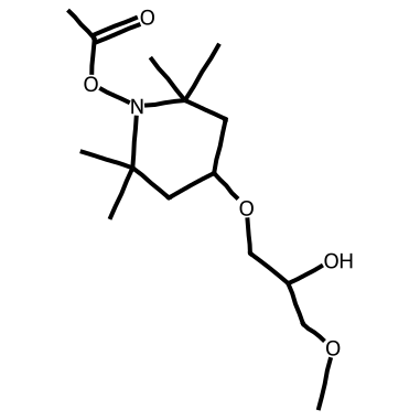 COCC(O)COC1CC(C)(C)N(OC(C)=O)C(C)(C)C1